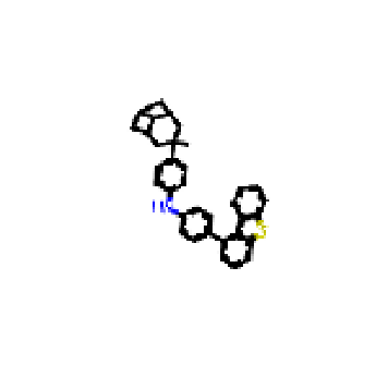 CC1(c2ccc(Nc3ccc(-c4cccc5sc6ccccc6c45)cc3)cc2)CC2CC3CC(C1)C32